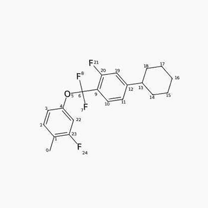 Cc1ccc(OC(F)(F)c2ccc(C3CCCCC3)cc2F)cc1F